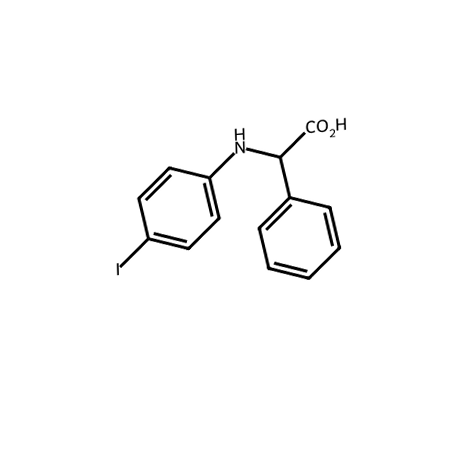 O=C(O)C(Nc1ccc(I)cc1)c1ccccc1